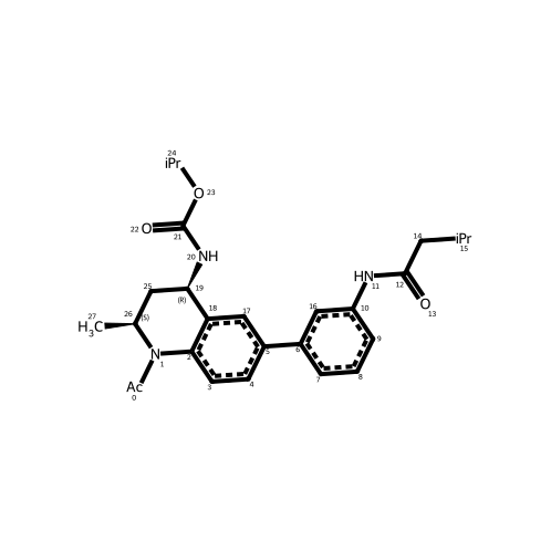 CC(=O)N1c2ccc(-c3cccc(NC(=O)CC(C)C)c3)cc2[C@H](NC(=O)OC(C)C)C[C@@H]1C